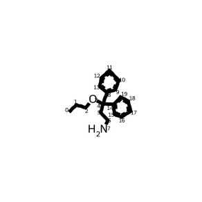 CCCOC(CCN)(c1ccccc1)c1ccccc1